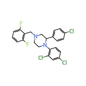 Fc1cccc(F)c1CN1CCN(c2ccc(Cl)cc2Cl)C(c2ccc(Cl)cc2)C1